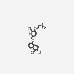 CON(C)CCOc1ccc(COc2cccc3c(Cl)c(Cl)ccc23)nc1Cl